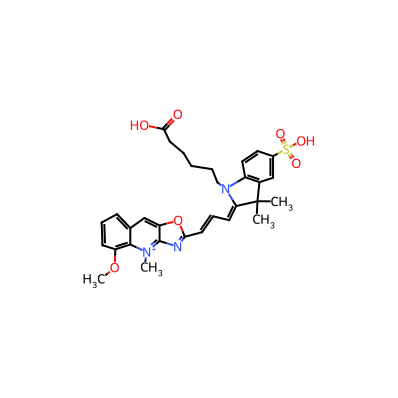 COc1cccc2cc3oc(/C=C/C=C4\N(CCCCCC(=O)O)c5ccc(S(=O)(=O)O)cc5C4(C)C)nc3[n+](C)c12